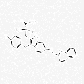 CC(C)(Cc1[nH]c2cc(OCc3ccc4ccccc4n3)ccc2c1Cc1ccc(Cl)cc1)C(=O)O